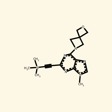 Cn1cnc2c(N3CC4(COC4)C3)nc(C#C[Si](C)(C)C)nc21